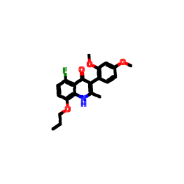 CCCOc1ccc(F)c2c(=O)c(-c3ccc(OC)cc3OC)c(C)[nH]c12